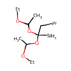 CCOC(C)OC([SiH3])(CC(C)C)OC(C)OCC